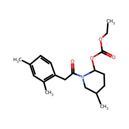 CCOC(=O)OC1CCC(C)CN1C(=O)Cc1ccc(C)cc1C